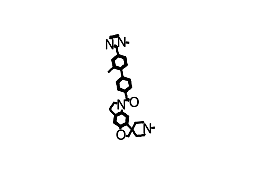 Cc1cc(-c2nccn2C)ccc1-c1ccc(C(=O)N2CCc3cc4c(cc32)C2(CCN(C)CC2)CO4)cc1